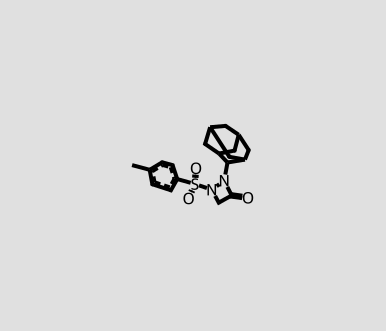 Cc1ccc(S(=O)(=O)N2CC(=O)N2C2C3CC4CC(C3)CC2C4)cc1